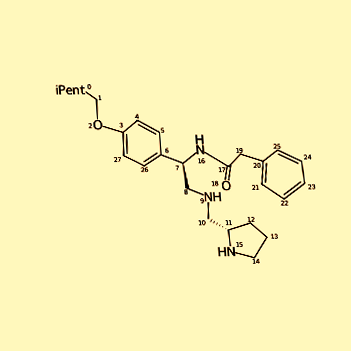 CCCC(C)COc1ccc([C@H](CNC[C@@H]2CCCN2)NC(=O)Cc2ccccc2)cc1